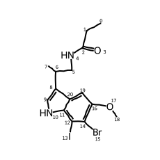 CCC(=O)NCC(C)c1c[nH]c2c(I)c(Br)c(OC)cc12